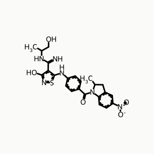 CC(CO)NC(=N)c1c(O)nsc1Nc1ccc(C(=O)N2c3ccc([N+](=O)[O-])cc3CC2C)cc1